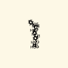 CC(C)C(C)(NC(=O)c1ccc(-c2ccc(NC(=O)c3nc(-c4ccccc4)oc3C(F)(F)F)cn2)c(Cl)c1)C(=O)O